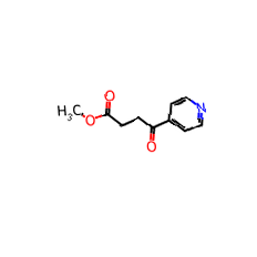 COC(=O)CCC(=O)c1ccncc1